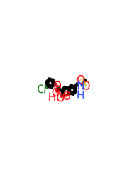 CS(=O)(=O)NCc1ccc2c(c1)C=C(C(=O)Oc1cccc(Cl)c1)C(O)O2